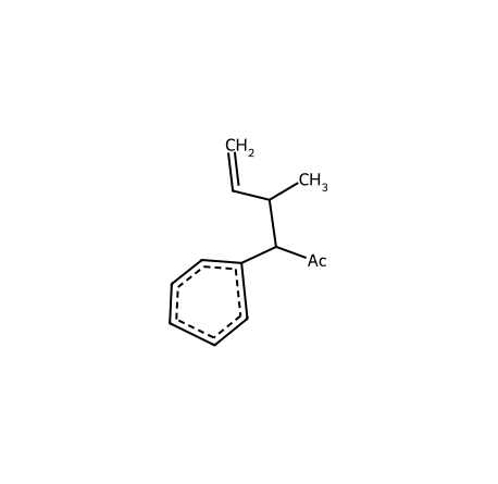 C=CC(C)C(C(C)=O)c1ccccc1